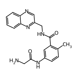 Cc1ccc(NC(=O)CN)cc1C(=O)NCc1cnc2ccccc2n1